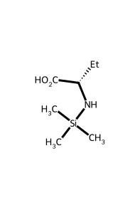 CC[C@H](N[Si](C)(C)C)C(=O)O